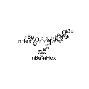 CCCCCCC(CCCC)C(=O)OCCCCN(CCCCOC(=O)C(CCCC)CCCCCC)CCN1CCN(C(=O)OC(C)(C)C)CC1